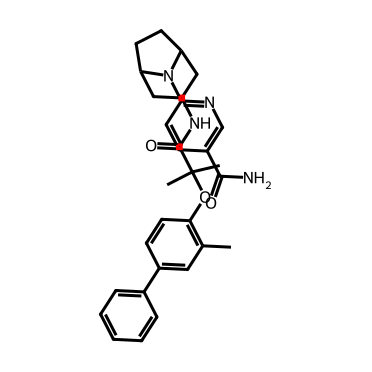 Cc1cc(-c2ccccc2)ccc1OC(C)(C)C(=O)NC1CC2CCC(C1)N2c1ccc(C(N)=O)cn1